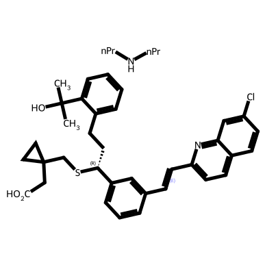 CC(C)(O)c1ccccc1CC[C@@H](SCC1(CC(=O)O)CC1)c1cccc(/C=C/c2ccc3ccc(Cl)cc3n2)c1.CCCNCCC